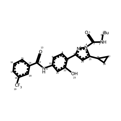 CCC(C)NC(=O)n1nc(-c2ccc(NC(=O)c3cccc(C(F)(F)F)c3)cc2O)cc1C1CC1